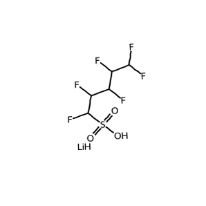 O=S(=O)(O)C(F)C(F)C(F)C(F)C(F)F.[LiH]